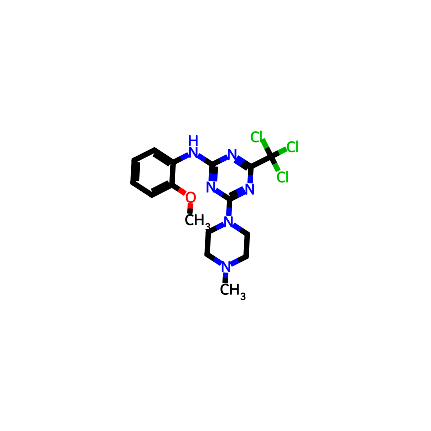 COc1ccccc1Nc1nc(N2CCN(C)CC2)nc(C(Cl)(Cl)Cl)n1